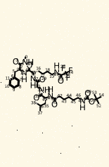 CNC(=O)[C@H](Cc1ccccc1)NC(=O)[C@H](CCCCNC(=O)C(F)(F)F)NC(=O)CNC(=O)[C@H](CC(C)C)NC(=O)CCCCCNC(=O)OC(C)(C)C